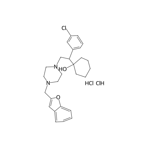 Cl.Cl.OC1(C(CN2CCN(Cc3cc4ccccc4o3)CC2)c2cccc(Cl)c2)CCCCC1